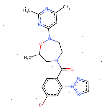 Cc1cc(N2CCN(C(=O)c3ccc(Br)cc3-n3nccn3)C[C@H](C)O2)nc(C)n1